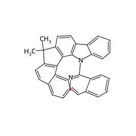 CC1(C)c2ccc3ccccc3c2-c2c1ccc1c3ccccc3n(-c3nccc4ccccc34)c21